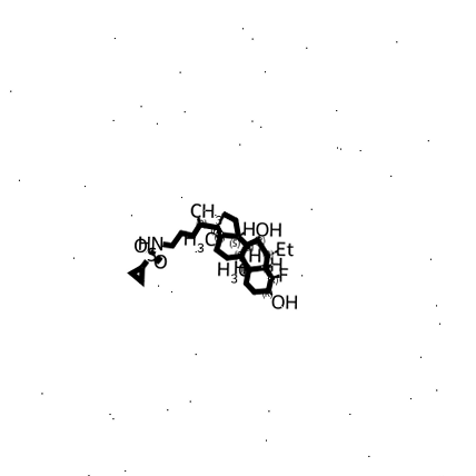 CC[C@H]1[C@@H](O)[C@@H]2[C@H](CC[C@]3(C)[C@@H]([C@H](C)CCCNS(=O)(=O)C4CC4)CC[C@@H]23)[C@@]2(C)CC[C@@H](O)[C@H](F)[C@@H]12